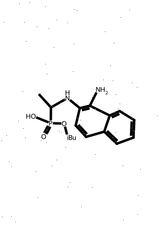 CCC(C)OP(=O)(O)C(C)Nc1ccc2ccccc2c1N